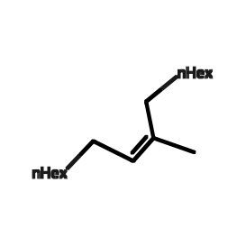 CCCCCCCC=C(C)CCCCCCC